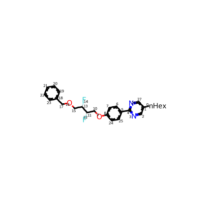 CCCCCCc1cnc(-c2ccc(OC[C@H](F)[C@@H](F)COCc3ccccc3)cc2)nc1